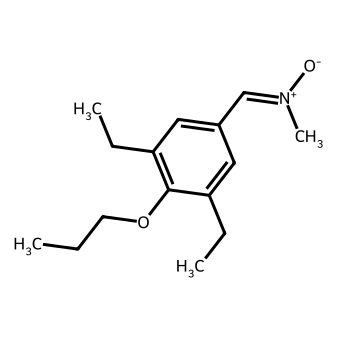 CCCOc1c(CC)cc(/C=[N+](\C)[O-])cc1CC